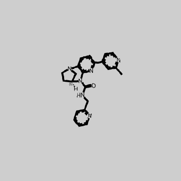 Cc1cc(-c2ccc3c(n2)N(C(=O)NCc2ccccn2)[C@H]2CCN3C2)ccn1